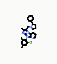 Cc1cc(C)c(-n2c3ncccc3n3c(CN4CCCC4c4ccccc4)c(C)nc23)c(Cl)c1